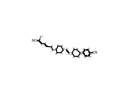 N#CC(F)=CC=CCC[C@H]1CC[C@H](C=C[C@H]2CC[C@H](c3ccc(C#N)cc3)CC2)CC1